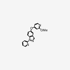 COc1cc(Oc2ccc3c(cnn3-c3ccccn3)c2)ccn1